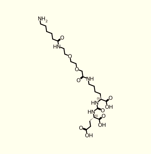 NCCCCCC(=O)NCCOCCOCC(=O)NCCCC[C@H](NC(=O)N[C@@H](CCC(=O)O)C(=O)O)C(=O)O